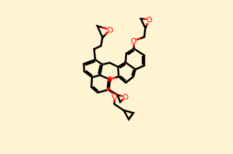 c1cc2ccc(CCC3CO3)c(Cc3c(OCC4CO4)ccc4ccc(OCC5CO5)cc34)c2cc1OCC1CC1